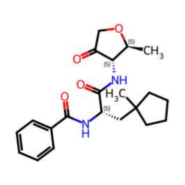 C[C@@H]1OCC(=O)[C@H]1NC(=O)[C@H](CC1(C)CCCC1)NC(=O)c1ccccc1